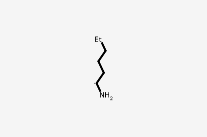 CCCCC[CH]N